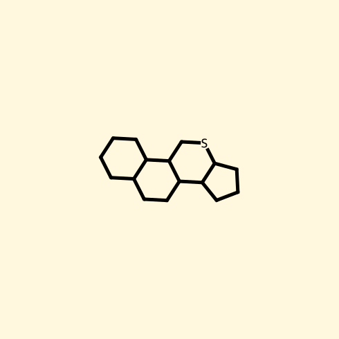 C1CCC2C(C1)CCC1C3CCCC3SCC21